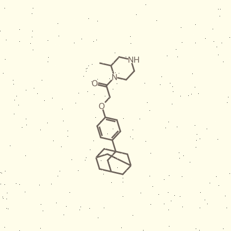 CC1CNCCN1C(=O)COc1ccc(C23CC4CC(CC(C4)C2)C3)cc1